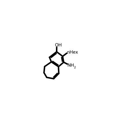 CCCCCCc1c(O)cc2c(c1N)C=CCCC2